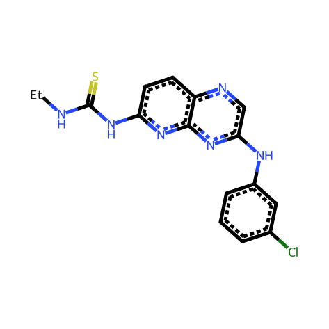 CCNC(=S)Nc1ccc2ncc(Nc3cccc(Cl)c3)nc2n1